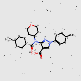 CC1CC=C(n2cc(C(=O)O)c(N(C(=O)[C@H]3CC[C@H](C)CC3)C3CCOCC3)n2)CC1